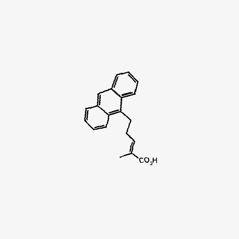 CC(=CCCc1c2ccccc2cc2ccccc12)C(=O)O